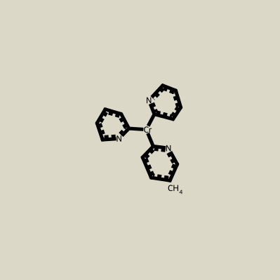 C.c1cc[c]([Cr]([c]2ccccn2)[c]2ccccn2)nc1